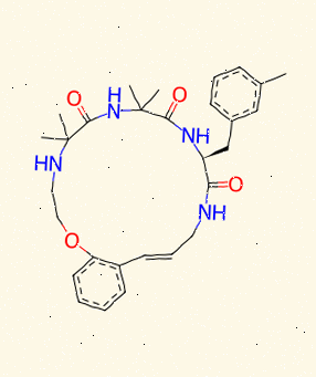 Cc1cccc(C[C@@H]2NC(=O)C(C)(C)NC(=O)C(C)(C)NCCOc3ccccc3/C=C/CNC2=O)c1